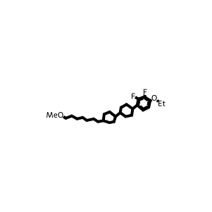 CCOc1ccc(C2CCC(C3CCC(CCCCCCCOC)CC3)CC2)c(F)c1F